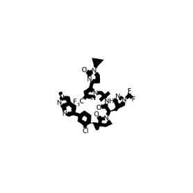 Cn1cc2cc(-c3ccc([C@H]4C[C@@]45CCN([C@H](Cc4cnn(C(F)F)c4)C(=O)NC(C)(C)Cn4nc(C(F)(F)F)cc4-c4ccn(C6CC6)c(=O)n4)C5=O)c(Cl)c3)cnc2n1